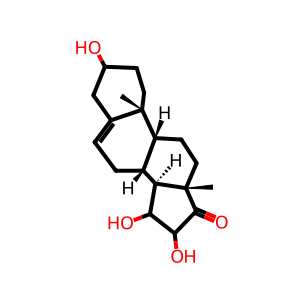 C[C@]12CCC(O)CC1=CC[C@@H]1[C@H]2CC[C@]2(C)C(=O)C(O)C(O)[C@@H]12